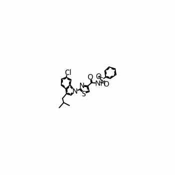 CC(C)Cc1cn(-c2nc(C(=O)NS(=O)(=O)c3ccccc3)cs2)c2cc(Cl)ccc12